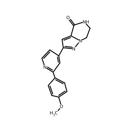 COc1ccc(-c2cc(-c3cc4n(n3)CCNC4=O)ccn2)cc1